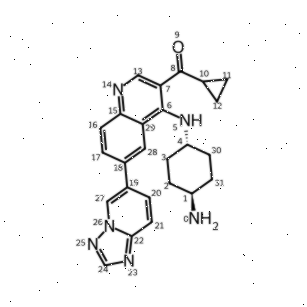 N[C@H]1CC[C@H](Nc2c(C(=O)C3CC3)cnc3ccc(-c4ccc5ncnn5c4)cc23)CC1